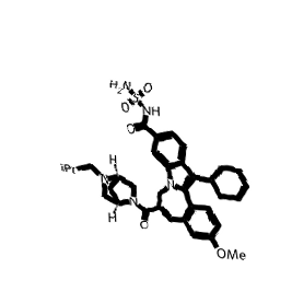 COc1ccc2c(c1)C=C(C(=O)N1C[C@H]3C[C@@H]1CN3CC(C)C)Cn1c-2c(C2CCCCC2)c2ccc(C(=O)NS(N)(=O)=O)cc21